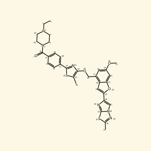 CCN1CCN(C(=O)c2ccc(-c3nc(OCc4cc(OC)cc5oc(-c6cn7nc(C)sc7n6)cc45)c(C)s3)cc2)CC1